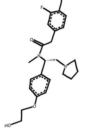 CN(C(=O)Cc1ccc(F)c(F)c1)[C@H](CN1CCCC1)c1ccc(OCCO)cc1